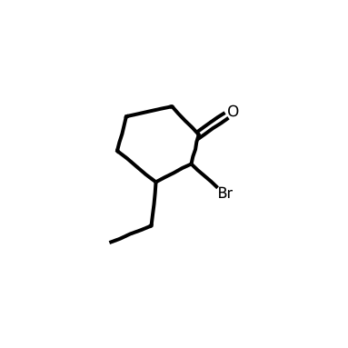 CCC1CCCC(=O)C1Br